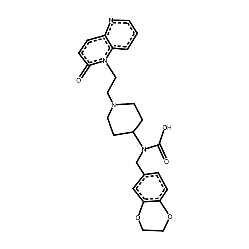 O=C(O)N(Cc1ccc2c(c1)OCCO2)C1CCN(CCn2c(=O)ccc3ncccc32)CC1